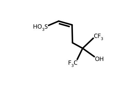 O=S(=O)(O)/C=C\CC(O)(C(F)(F)F)C(F)(F)F